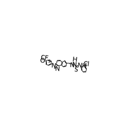 FC(F)(F)Oc1ccc(-n2cnc3c4ccc(/C=N/NC(=S)Nc5ccccc5Cl)cc4ccc32)cc1